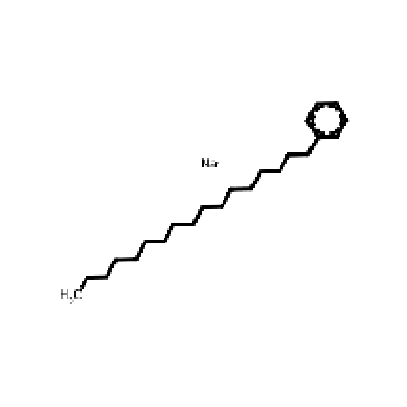 CCCCCCCCCCCCCCCCCc1ccccc1.[Na]